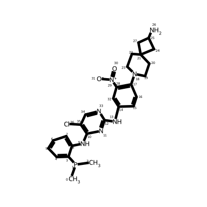 CP(C)c1ccccc1Nc1nc(Nc2ccc(N3CCC4(CC3)CC(N)C4)c([N+](=O)[O-])c2)ncc1Cl